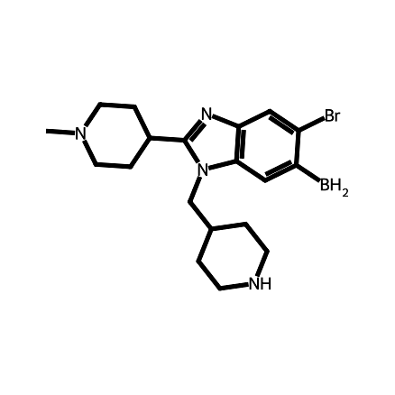 Bc1cc2c(cc1Br)nc(C1CCN(C)CC1)n2CC1CCNCC1